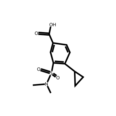 CN(C)S(=O)(=O)c1cc(C(=O)O)ccc1C1CC1